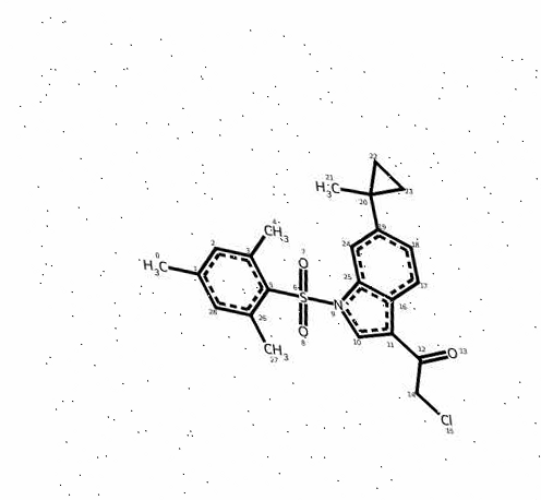 Cc1cc(C)c(S(=O)(=O)n2cc(C(=O)CCl)c3ccc(C4(C)CC4)cc32)c(C)c1